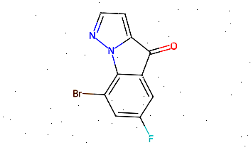 O=C1c2cc(F)cc(Br)c2-n2nccc21